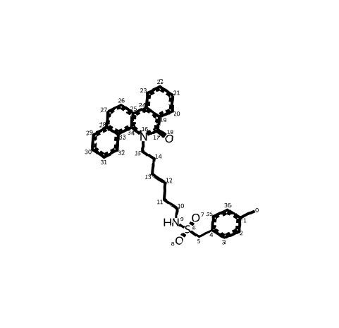 Cc1ccc(CS(=O)(=O)NCCCCCCn2c(=O)c3ccccc3c3ccc4ccccc4c32)cc1